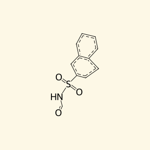 O=CNS(=O)(=O)c1ccc2ccccc2c1